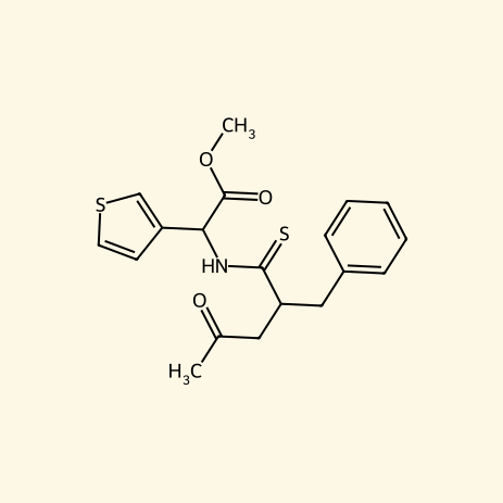 COC(=O)C(NC(=S)C(CC(C)=O)Cc1ccccc1)c1ccsc1